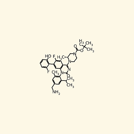 Cc1cc(CN)cc(C(C)C)c1-n1c(=O)nc(N2CCN(C(=O)OC(C)(C)C)C[C@@H]2C)c2cc(F)c(-c3c(O)cccc3F)cc21